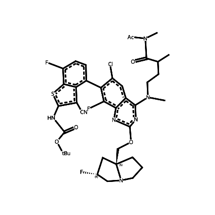 CC(=O)N(C)C(=O)C(C)CCN(C)c1nc(OC[C@@]23CCCN2C[C@H](F)C3)nc2c(F)c(-c3ccc(F)c4sc(NC(=O)OC(C)(C)C)c(C#N)c34)c(Cl)cc12